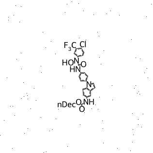 CCCCCCCCCCOC(=O)Nc1ccc2c(ccn2-c2ccc(NC(=O)N(O)c3ccc(Cl)c(C(F)(F)F)c3)cc2)c1